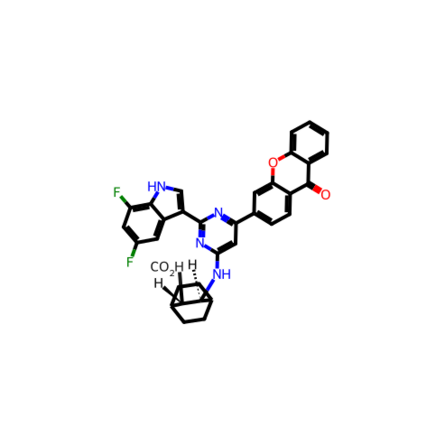 O=C(O)[C@H]1C2CCC(CC2)[C@@H]1Nc1cc(-c2ccc3c(=O)c4ccccc4oc3c2)nc(-c2c[nH]c3c(F)cc(F)cc23)n1